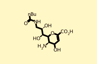 CCCCC(=O)NC[C@H](O)[C@H](O)C1OC(C(=O)O)=CC(O)[C@H]1N